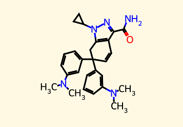 CN(C)c1cccc(C2(c3cccc(N(C)C)c3)C=Cc3c(C(N)=O)nn(C4CC4)c3C2)c1